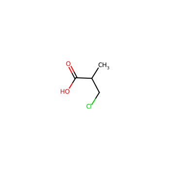 CC(CCl)C(=O)O